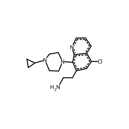 NCCc1cc(Cl)c2cccnc2c1N1CCN(C2CC2)CC1